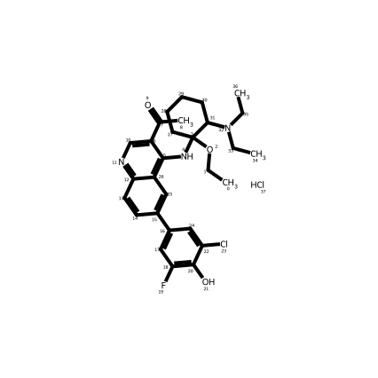 CCOC1(Nc2c(C(C)=O)cnc3ccc(-c4cc(F)c(O)c(Cl)c4)cc23)CCCCC1N(CC)CC.Cl